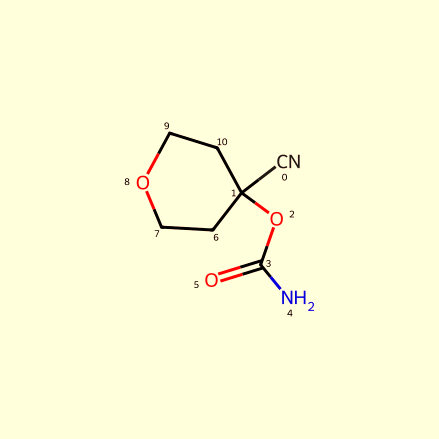 N#CC1(OC(N)=O)CCOCC1